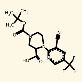 CC(C)(C)OC(=O)N1CCN(c2ncc(C(F)(F)F)cc2C#N)C(C(=O)O)C1